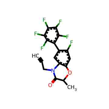 C#CCN1C(=O)C(C)Oc2cc(F)c(-c3c(F)c(F)c(F)c(F)c3F)cc21